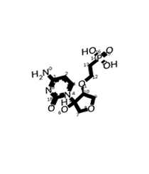 Nc1ccn(C2(O)COC[C@@H]2OCCP(=O)(O)O)c(=O)n1